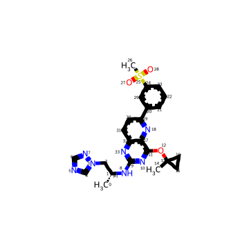 C[C@H](Cn1cncn1)Nc1nc(OC2(C)CC2)c2nc(-c3cccc(S(C)(=O)=O)c3)ccc2n1